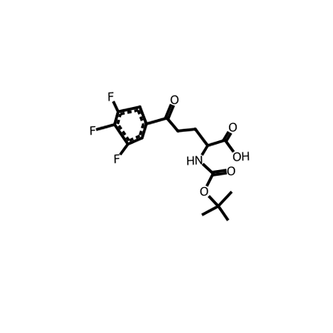 CC(C)(C)OC(=O)NC(CCC(=O)c1cc(F)c(F)c(F)c1)C(=O)O